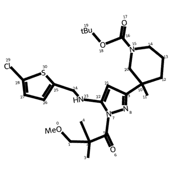 COCC(C)(C)C(=O)n1nc(C2(C)CCCN(C(=O)OC(C)(C)C)C2)cc1NCc1ccc(Cl)s1